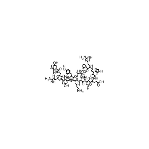 [2H]N[C@@H](CC(=O)O)C(=O)NCC(=O)C(=O)[C@H](CCCNC(=N)N)NN[C@@H](CC(=O)O)C(=O)NC(Cc1ccc(O)cc1)C(=O)N[C@@H](CCCCN)C(=O)NC(CS)C(=O)N[C@@H](CS)C(=O)C(=O)[C@H](CCC(=O)O)NN[C@@H](Cc1cnc[nH]1)C(=O)CCN[C@@H](CCCNC(=N)N)C(=O)N1CCC[C@H]1C(=O)N[C@H](C(N)=O)C(C)C